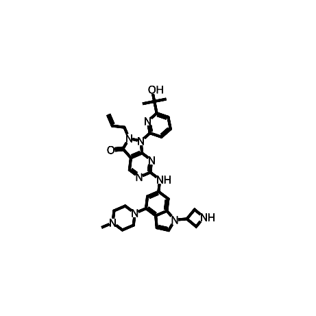 C=CCn1c(=O)c2cnc(Nc3cc(N4CCN(C)CC4)c4ccn(C5CNC5)c4c3)nc2n1-c1cccc(C(C)(C)O)n1